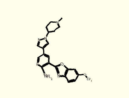 CN1CCC(n2cc(-c3cnc(N)c(-c4nc5ccc(OC(F)(F)F)cc5o4)c3)cn2)CC1